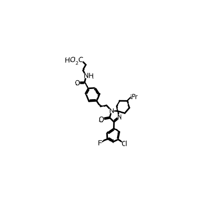 CC(C)C1CCC2(CC1)N=C(c1cc(F)cc(Cl)c1)C(=O)N2CCc1ccc(C(=O)NCCC(=O)O)cc1